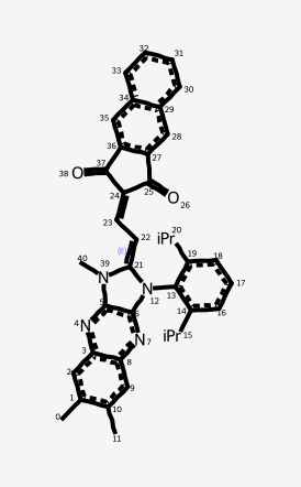 Cc1cc2nc3c(nc2cc1C)N(c1c(C(C)C)cccc1C(C)C)/C(=C/C=C1C(=O)c2cc4ccccc4cc2C1=O)N3C